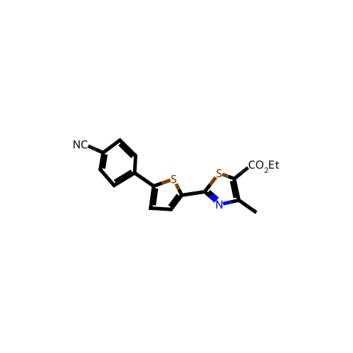 CCOC(=O)c1sc(-c2ccc(-c3ccc(C#N)cc3)s2)nc1C